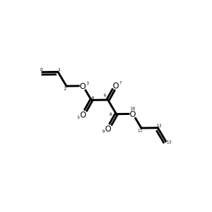 C=CCOC(=O)C(=O)C(=O)OCC=C